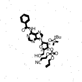 C=CCOP(=O)(OCCC#N)O[C@H]1[C@@H](O[Si](C)(C)C(C)(C)C)[C@H](n2cnc3c(NC(=O)c4ccccc4)ncnc32)O[C@@H]1CO